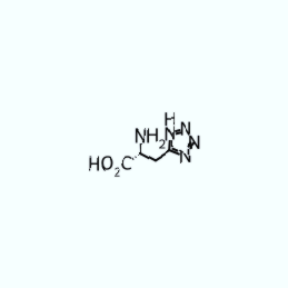 N[C@H](Cc1nnn[nH]1)C(=O)O